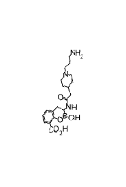 NCCCN1CCC(CC(=O)NC2Cc3cccc(C(=O)O)c3OB2O)CC1